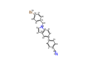 N#Cc1ccc(-c2ccc3c(ccn3Cc3ccc(Br)cc3)c2)cc1